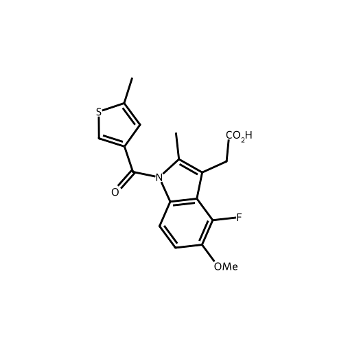 COc1ccc2c(c1F)c(CC(=O)O)c(C)n2C(=O)c1csc(C)c1